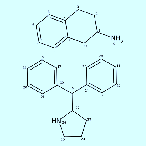 NC1CCc2ccccc2C1.c1ccc(C(c2ccccc2)C2CCCN2)cc1